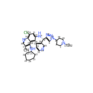 CC(C)(C)N1CCC(n2cc([C@@H](Nc3cc(Cl)c4ncc(C#N)c(NC5CCCCCC5)c4c3)c3cccnc3)nn2)CC1